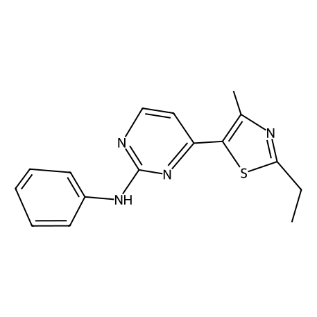 CCc1nc(C)c(-c2ccnc(Nc3ccccc3)n2)s1